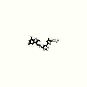 Cc1cc(-c2cc(NCCc3c(C)oc4c(C)cc(F)cc34)ncn2)sc1C(=O)O